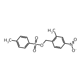 Cc1ccc(S(=O)(=O)OCc2ccc([N+](=O)[O-])cc2C)cc1